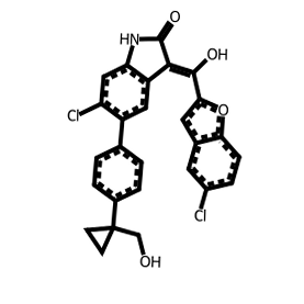 O=C1Nc2cc(Cl)c(-c3ccc(C4(CO)CC4)cc3)cc2/C1=C(/O)c1cc2cc(Cl)ccc2o1